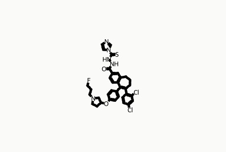 O=C(NNC(=S)n1ccnc1)c1ccc2c(c1)CCCC(c1ccc(Cl)cc1Cl)=C2c1ccc(OC2CCN(CCCF)C2)cc1